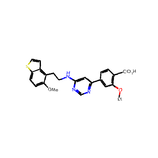 CCOc1cc(-c2cc(NCCc3c(OC)ccc4sccc34)ncn2)ccc1C(=O)O